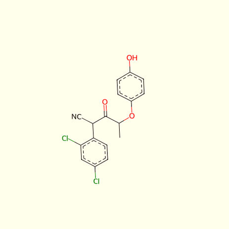 CC(Oc1ccc(O)cc1)C(=O)C(C#N)c1ccc(Cl)cc1Cl